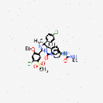 CCNC(=O)NC1CCN(C(=O)N2C(c3cc(S(C)(=O)=O)c(Cl)cc3OCC)=N[C@@](C)(c3ccc(Cl)cc3)[C@@]2(C)c2ccc(Cl)cc2)CC1